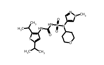 CC(C)c1cc(NC(=O)NS(=O)(=O)N(c2cnn(C)c2)C2CCOCC2)c(C(C)C)s1